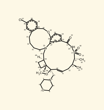 CO[C@]1(CN2CCOCC2)/C=C/C[C@H](C)[C@@H](C)S(=O)(=O)NC(=O)c2ccc3c(c2)N(CCCCc2cc(Cl)ccc2CO3)C[C@@H]2CC[C@H]21